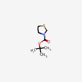 CC(C)(C)OC(=O)N1[CH]SCC1